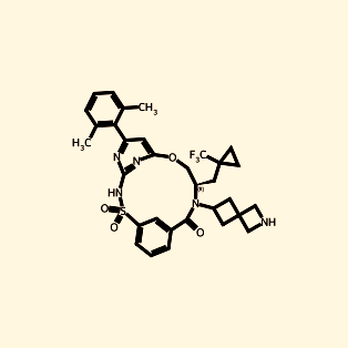 Cc1cccc(C)c1-c1cc2nc(n1)NS(=O)(=O)c1cccc(c1)C(=O)N(C1CC3(CNC3)C1)[C@H](CC1(C(F)(F)F)CC1)CO2